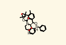 Cc1ccc(C(O[SiH](c2ccccc2)c2ccccc2)[C@H]2CNCCN2C(=O)OC(C)(C)C)cc1C(C)(C)C